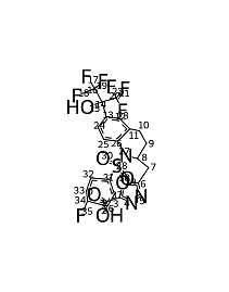 O=C(O)c1nnc(CC2CCc3cc(C(O)(C(F)(F)F)C(F)(F)F)ccc3N2S(=O)(=O)c2ccc(F)cc2)o1